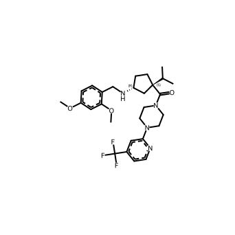 COc1ccc(CN[C@@H]2CC[C@@](C(=O)N3CCN(c4cc(C(F)(F)F)ccn4)CC3)(C(C)C)C2)c(OC)c1